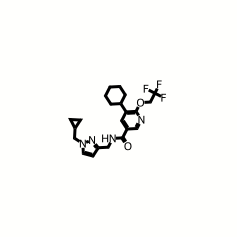 O=C(NCc1ccn(CC2CC2)n1)c1cnc(OCC(F)(F)F)c(C2CCCCC2)c1